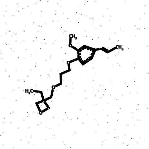 C/C=C/c1ccc(OCCCOCC2(CC)COC2)c(OC)c1